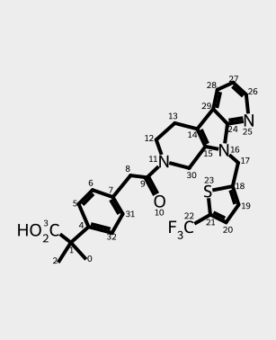 CC(C)(C(=O)O)c1ccc(CC(=O)N2CCc3c(n(Cc4ccc(C(F)(F)F)s4)c4ncccc34)C2)cc1